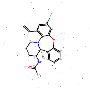 C=Cc1cc(F)cc2c1N1CCC[C@H](NC(=O)C(F)(F)F)[C@@H]1c1ccccc1O2